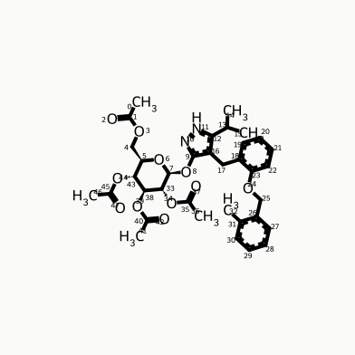 CC(=O)OC[C@H]1O[C@@H](Oc2n[nH]c(C(C)C)c2Cc2ccccc2OCc2ccccc2C)[C@H](OC(C)=O)[C@@H](OC(C)=O)[C@@H]1OC(C)=O